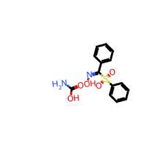 NC(=O)O.O=S(=O)(C(=NO)c1ccccc1)c1ccccc1